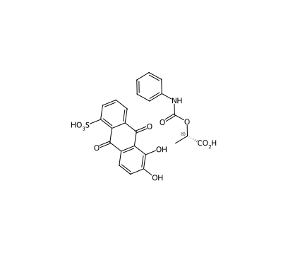 C[C@H](OC(=O)Nc1ccccc1)C(=O)O.O=C1c2ccc(O)c(O)c2C(=O)c2cccc(S(=O)(=O)O)c21